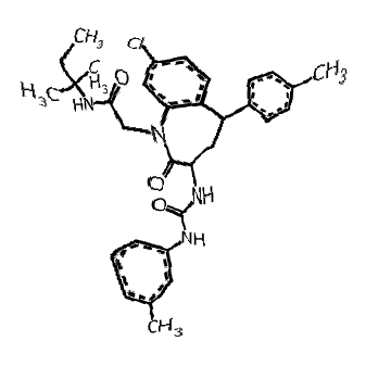 CCC(C)(C)NC(=O)CN1C(=O)C(NC(=O)Nc2cccc(C)c2)CC(c2ccc(C)cc2)c2ccc(Cl)cc21